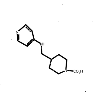 O=C(O)N1CCC(CNc2ccncc2)CC1